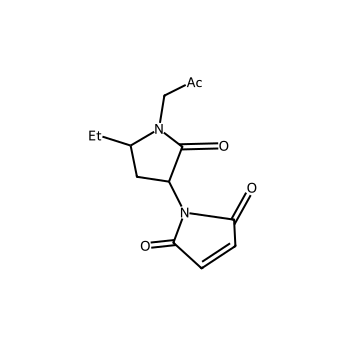 CCC1CC(N2C(=O)C=CC2=O)C(=O)N1CC(C)=O